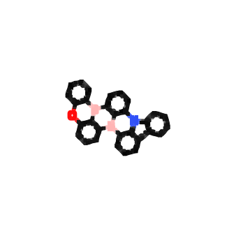 c1ccc2c(c1)Oc1cccc3c1B2c1cccc2c1B3c1cccc3c4ccccc4n-2c13